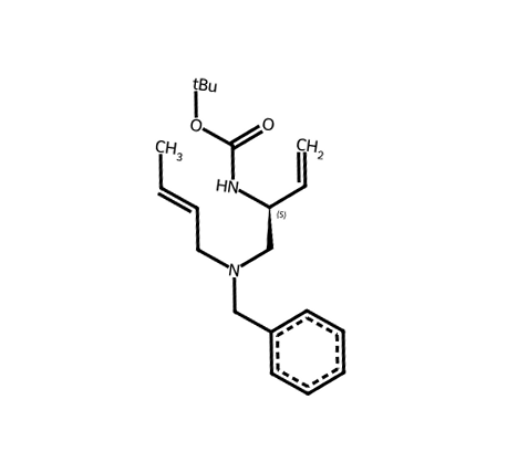 C=C[C@@H](CN(CC=CC)Cc1ccccc1)NC(=O)OC(C)(C)C